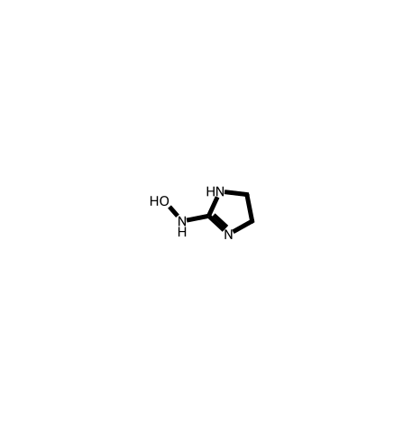 ONC1=NCCN1